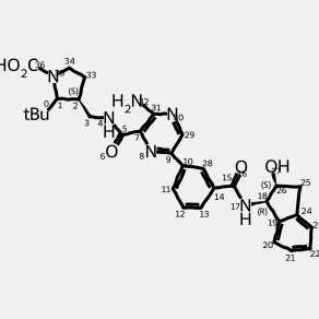 CC(C)(C)C1[C@H](CNC(=O)c2nc(-c3cccc(C(=O)N[C@@H]4c5ccccc5C[C@@H]4O)c3)cnc2N)CCN1C(=O)O